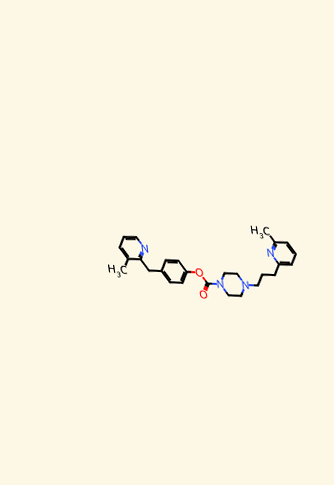 Cc1cccc(CCCN2CCN(C(=O)Oc3ccc(Cc4ncccc4C)cc3)CC2)n1